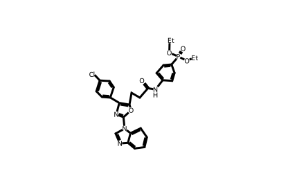 CCOP(=O)(OCC)c1ccc(NC(=O)CCc2oc(-n3cnc4ccccc43)nc2-c2ccc(Cl)cc2)cc1